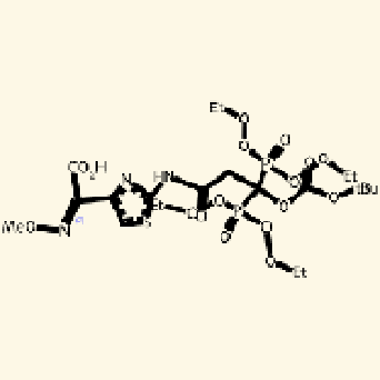 CCOOP(=O)(OOCC)C(CC(=O)Nc1nc(/C(=N/OC)C(=O)O)cs1)(OC(=O)OC(C)(C)C)P(=O)(OOCC)OOCC